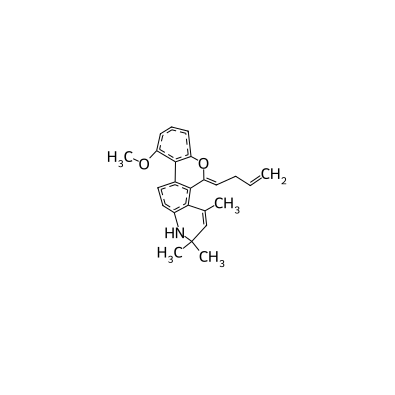 C=CCC=C1Oc2cccc(OC)c2-c2ccc3c(c21)C(C)=CC(C)(C)N3